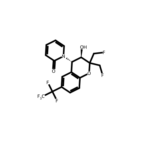 O=c1ccccn1[C@H]1c2cc(C(F)(F)C(F)(F)F)ccc2OC(CF)(CF)[C@@H]1O